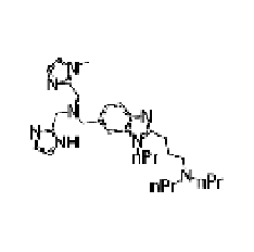 CCCN(CCC)CCCc1nc2ccc(CN(Cc3ncc[nH]3)Cc3nccn3C)cc2n1CCC